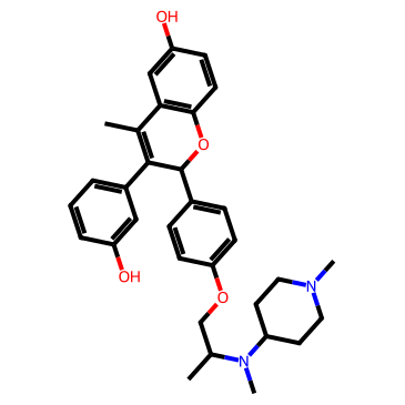 CC1=C(c2cccc(O)c2)C(c2ccc(OCC(C)N(C)C3CCN(C)CC3)cc2)Oc2ccc(O)cc21